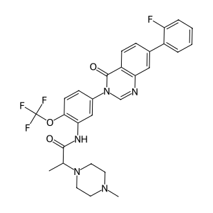 CC(C(=O)Nc1cc(-n2cnc3cc(-c4ccccc4F)ccc3c2=O)ccc1OC(F)(F)F)N1CCN(C)CC1